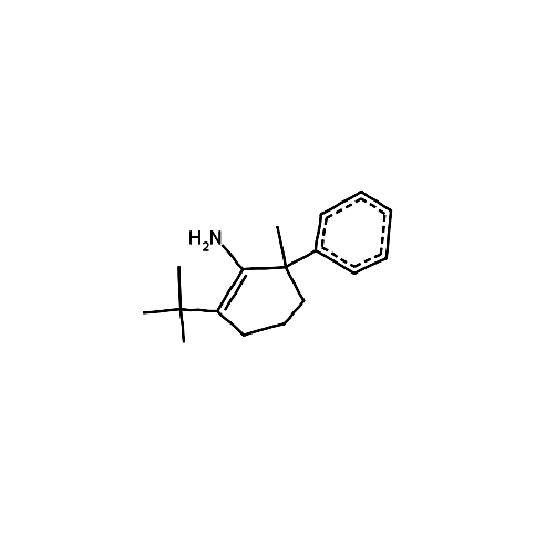 CC(C)(C)C1=C(N)C(C)(c2ccccc2)CCC1